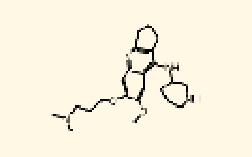 COc1cc2c(NC3CCCNC3)c3c(nc2cc1OCCCN(C)C)CCC3